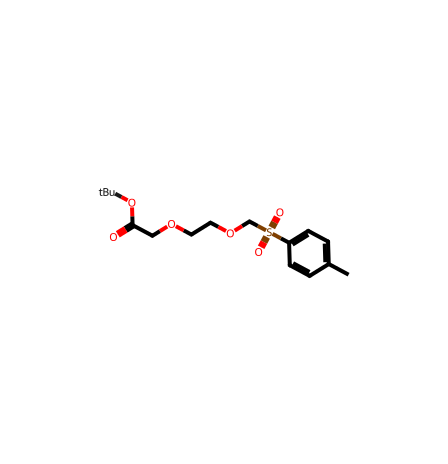 Cc1ccc(S(=O)(=O)COCCOCC(=O)OC(C)(C)C)cc1